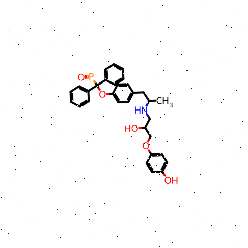 CC(Cc1ccc(OC(P=O)(c2ccccc2)c2ccccc2)cc1)NCC(O)COc1ccc(O)cc1